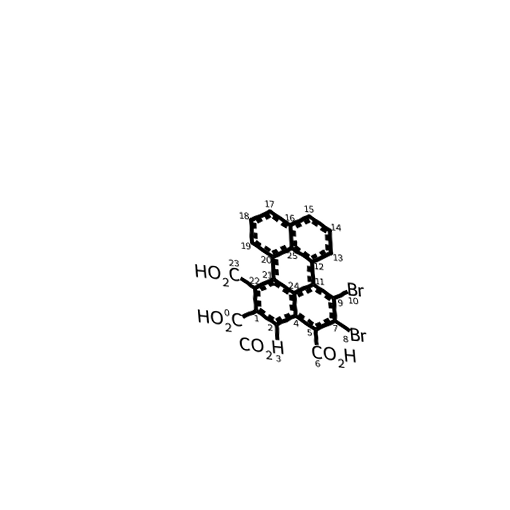 O=C(O)c1c(C(=O)O)c2c(C(=O)O)c(Br)c(Br)c3c4cccc5cccc(c(c1C(=O)O)c23)c54